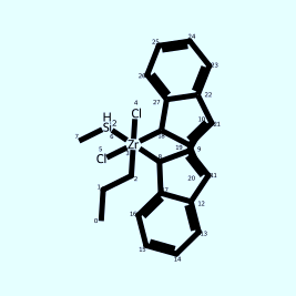 CC[CH2][Zr]([Cl])([Cl])([SiH2]C)([CH]1C(C)=Cc2ccccc21)[CH]1C(C)=Cc2ccccc21